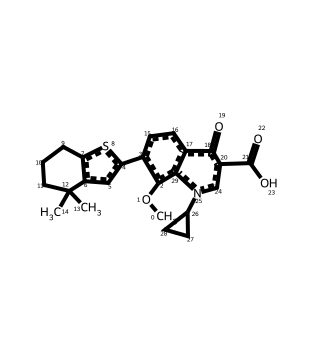 COc1c(-c2cc3c(s2)CCCC3(C)C)ccc2c(=O)c(C(=O)O)cn(C3CC3)c12